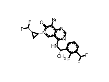 C[C@H](Nc1ncnc2c(Br)c(=O)n([C@@H]3C[C@@H]3C(F)F)cc12)c1cccc(C(F)F)c1F